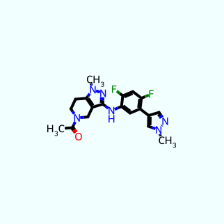 CC(=O)N1CCc2c(c(Nc3cc(-c4cnn(C)c4)c(F)cc3F)nn2C)C1